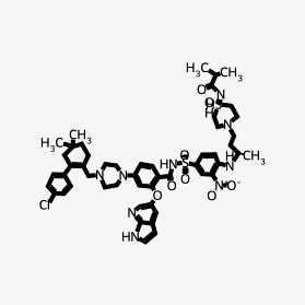 CC(C)C(=O)N=[SH]1(O)CCN(CC[C@H](C)Nc2ccc(S(=O)(=O)NC(=O)c3ccc(N4CCN(CC5=C(c6ccc(Cl)cc6)CC(C)(C)CC5)CC4)cc3Oc3cnc4[nH]ccc4c3)cc2[N+](=O)[O-])CC1